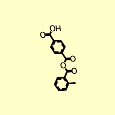 Cc1ccccc1C(=O)OC(=O)c1ccc(C(=O)O)cc1